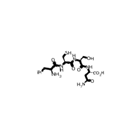 CC(C)C[C@H](N)C(=O)N[C@@H](CS)C(=O)N[C@@H](CO)C(=O)N[C@@H](CC(N)=O)C(=O)O